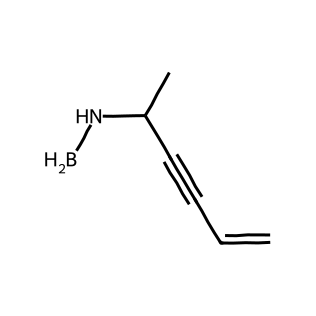 BNC(C)C#CC=C